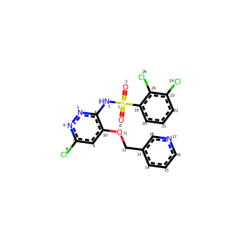 O=S(=O)(Nc1nnc(Cl)cc1OCc1cccnc1)c1cccc(Cl)c1Cl